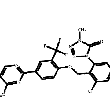 Cc1ccnc(-c2ccc(OCc3c(Cl)cccc3-n3nnn(C)c3=O)c(C(F)(F)F)c2)n1